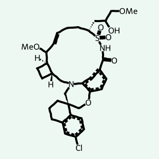 COCC(O)C[C@H]1CC/C=C/C(OC)[C@@H]2CC[C@H]2CN2C[C@@]3(CCCc4cc(Cl)ccc43)COc3ccc(cc32)C(=O)NS1(=O)=O